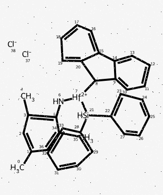 Cc1cc(C)c([NH][Hf+2]([CH]2c3ccccc3-c3ccccc32)[SiH](c2ccccc2)c2ccccc2)c(C)c1.[Cl-].[Cl-]